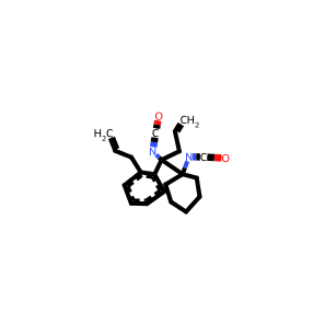 C=CCc1ccccc1C(CC=C)(N=C=O)C1(N=C=O)CCCCC1